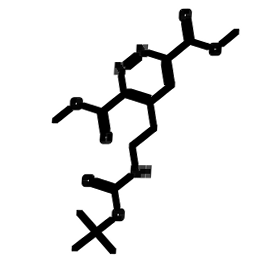 COC(=O)c1cc(CCNC(=O)OC(C)(C)C)c(C(=O)OC)nn1